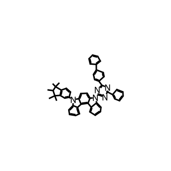 CC1C(C)(C)c2ccc(-n3c4ccccc4c4c5c6ccccc6n(-c6nc(-c7ccccc7)nc(-c7ccc(-c8ccccc8)cc7)n6)c5ccc43)cc2C1(C)C